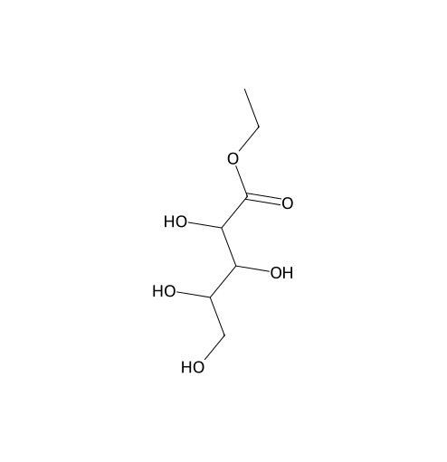 CCOC(=O)C(O)C(O)C(O)CO